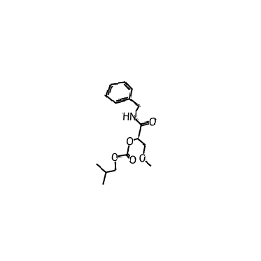 COCC(OC(=O)OCC(C)C)C(=O)NCc1ccccc1